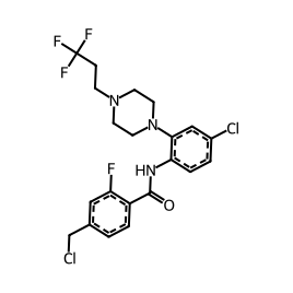 O=C(Nc1ccc(Cl)cc1N1CCN(CCC(F)(F)F)CC1)c1ccc(CCl)cc1F